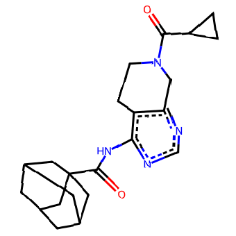 O=C(C1CC1)N1CCc2c(ncnc2NC(=O)C23CC4CC(CC(C4)C2)C3)C1